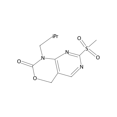 CC(C)CN1C(=O)OCc2cnc(S(C)(=O)=O)nc21